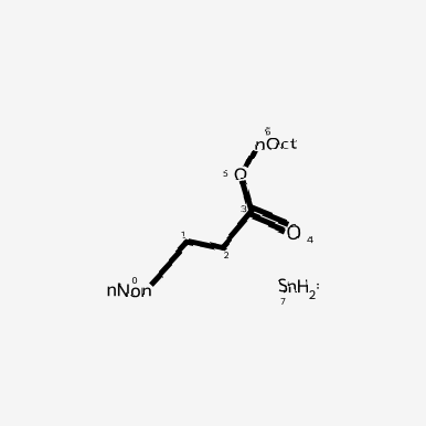 CCCCCCCCCCCC(=O)OCCCCCCCC.[SnH2]